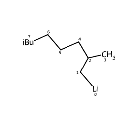 [Li][CH2]C(C)CCCC(C)CC